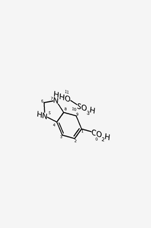 O=C(O)C1=CC=C2NCNC2C1.O=S(=O)(O)O